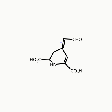 O=C/C=C1\C=C(C(=O)O)NC(C(=O)O)C1